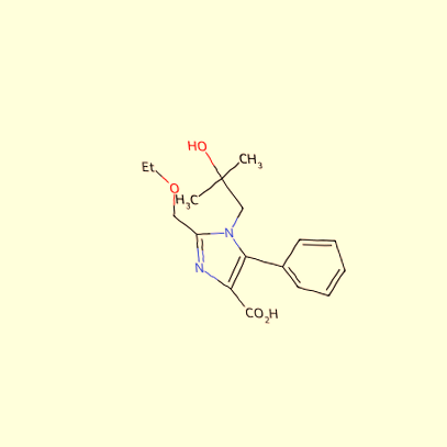 CCOCc1nc(C(=O)O)c(-c2ccccc2)n1CC(C)(C)O